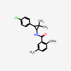 COc1ccc(C)cc1C(=O)NC1C(c2ccc(Cl)cc2)C1(C)C